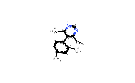 Cc1ccc(-c2c(C)ncnc2C)c(C)c1